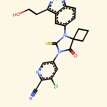 N#Cc1ncc(N2C(=O)C3(CCC3)N(c3ccc4[nH]nc(CCO)c4c3)C2=S)cc1Cl